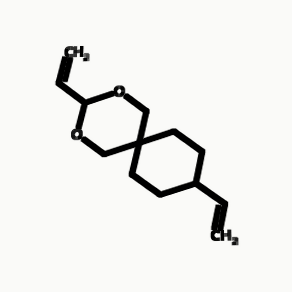 C=CC1CCC2(CC1)COC(C=C)OC2